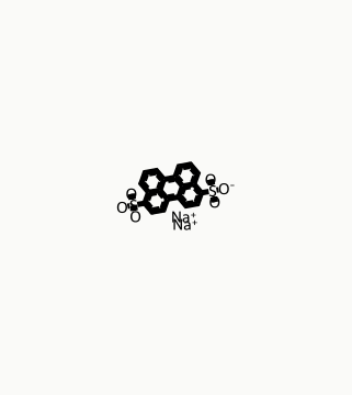 O=S(=O)([O-])c1ccc2c3ccc(S(=O)(=O)[O-])c4cccc(c5cccc1c52)c43.[Na+].[Na+]